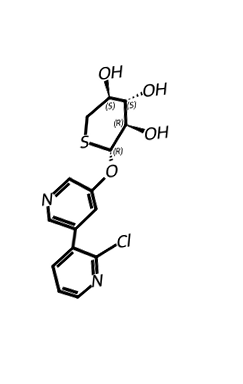 O[C@@H]1[C@@H](O)[C@H](Oc2cncc(-c3cccnc3Cl)c2)SC[C@H]1O